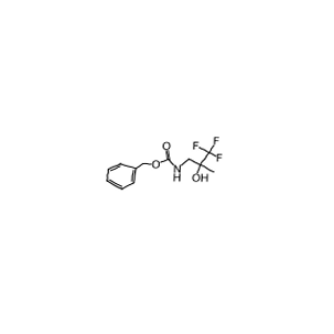 CC(O)(CNC(=O)OCc1ccccc1)C(F)(F)F